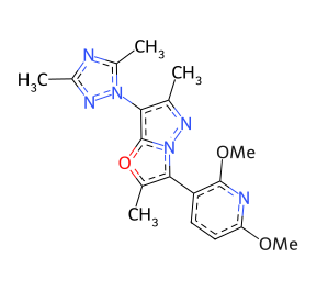 COc1ccc(-c2c(C)oc3c(-n4nc(C)nc4C)c(C)nn23)c(OC)n1